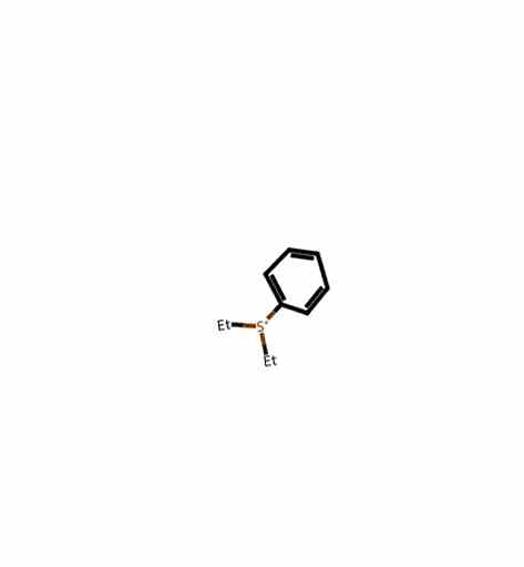 CC[S+](CC)c1ccccc1